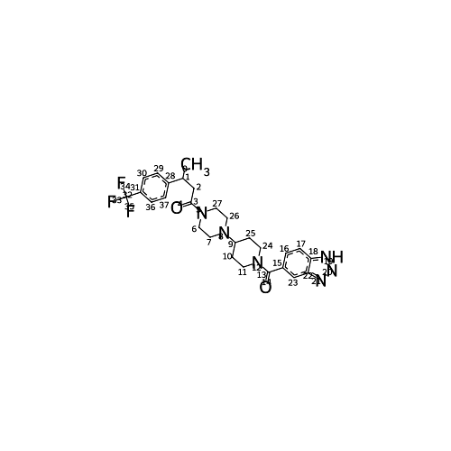 CC(CC(=O)N1CCN(C2CCN(C(=O)c3ccc4[nH]nnc4c3)CC2)CC1)c1ccc(C(F)(F)F)cc1